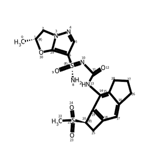 C[C@@H]1Cn2ncc([S@](N)(=O)=NC(=O)Nc3c4c(cc5c3[C@H](S(C)(=O)=O)C5)CCC4)c2O1